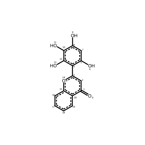 O=c1cc(-c2c(O)cc(O)c(O)c2O)oc2ccccc12